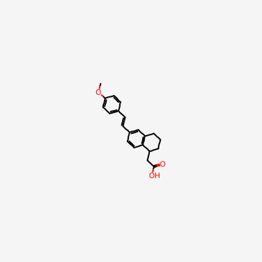 COc1ccc(C=Cc2ccc3c(c2)CCCC3CC(=O)O)cc1